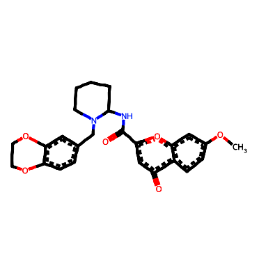 COc1ccc2c(=O)cc(C(=O)NC3CCCCN3Cc3ccc4c(c3)OCCO4)oc2c1